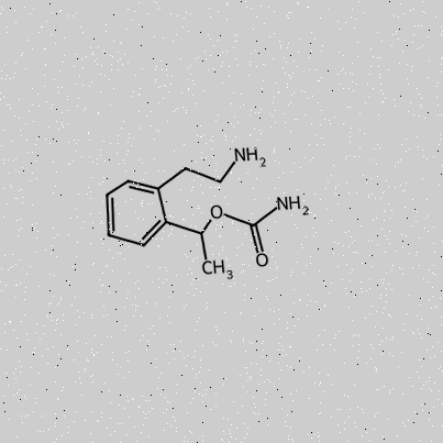 CC(OC(N)=O)c1ccccc1CCN